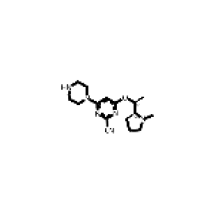 C[C@H](Oc1cc(N2CCNCC2)nc(C#N)n1)[C@@H]1CCCN1C